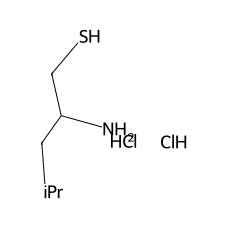 CC(C)CC(N)CS.Cl.Cl